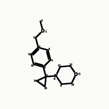 COCc1ccc(C2(N3CCOCC3)CC2)cc1